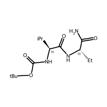 CC[C@H](NC(=O)[C@@H](NC(=O)OC(C)(C)C)C(C)C)C(N)=O